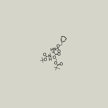 CC(C)(C)OC(=O)NC[C@H](NC(=O)OCc1ccccc1)C(=O)OCOC(=O)C(C)(C)C